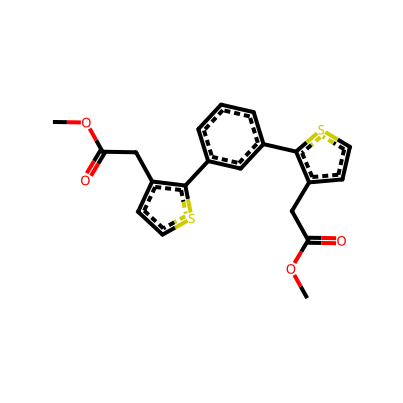 COC(=O)Cc1ccsc1-c1cccc(-c2sccc2CC(=O)OC)c1